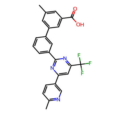 Cc1cc(C(=O)O)cc(-c2cccc(-c3nc(-c4ccc(C)nc4)cc(C(F)(F)F)n3)c2)c1